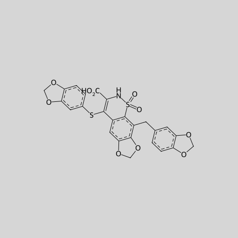 O=C(O)C1=C(Sc2ccc3c(c2)OCO3)c2cc3c(c(Cc4ccc5c(c4)OCO5)c2S(=O)(=O)N1)OCO3